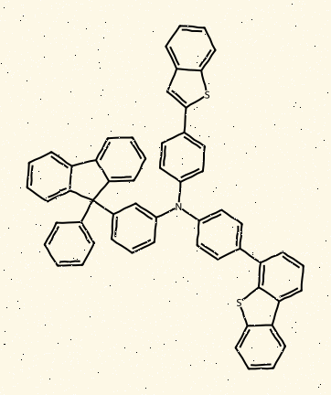 c1ccc(C2(c3cccc(N(c4ccc(-c5cc6ccccc6s5)cc4)c4ccc(-c5cccc6c5sc5ccccc56)cc4)c3)c3ccccc3-c3ccccc32)cc1